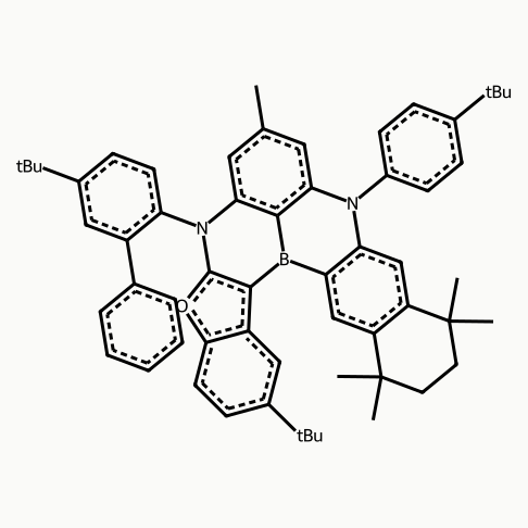 Cc1cc2c3c(c1)N(c1ccc(C(C)(C)C)cc1-c1ccccc1)c1oc4ccc(C(C)(C)C)cc4c1B3c1cc3c(cc1N2c1ccc(C(C)(C)C)cc1)C(C)(C)CCC3(C)C